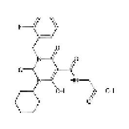 O=C(O)CNC(=O)c1c(O)n(C2CCCCC2)c(=O)n(Cc2ccccc2F)c1=O